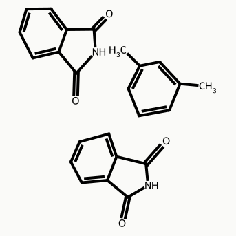 Cc1cccc(C)c1.O=C1NC(=O)c2ccccc21.O=C1NC(=O)c2ccccc21